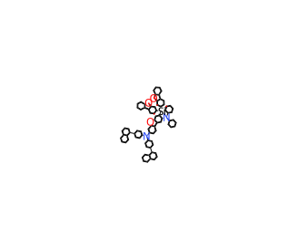 c1ccc(N2c3ccccc3[Si](c3ccc4c(c3)oc3ccccc34)(c3ccc4c(c3)oc3ccccc34)c3cc4oc5cc(N(c6ccc(-c7cccc8ccccc78)cc6)c6ccc(-c7cccc8ccccc78)cc6)ccc5c4cc32)cc1